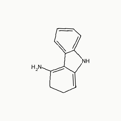 NC1=c2c([nH]c3ccccc23)=CCC1